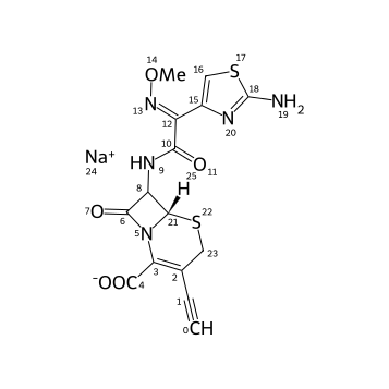 C#CC1=C(C(=O)[O-])N2C(=O)C(NC(=O)C(=NOC)c3csc(N)n3)[C@@H]2SC1.[Na+]